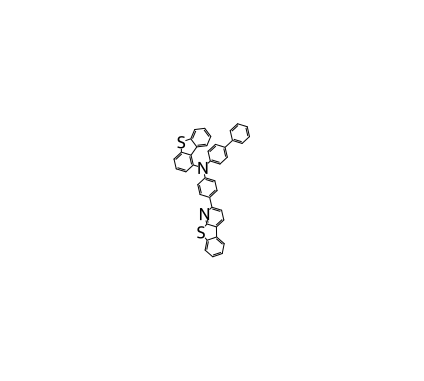 c1ccc(-c2ccc(N(c3ccc(-c4ccc5c(n4)sc4ccccc45)cc3)c3cccc4sc5ccccc5c34)cc2)cc1